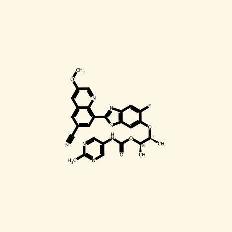 COc1cnc2c(-c3nc4cc(F)c(O[C@@H](C)[C@@H](C)OC(=O)Nc5cnc(C)nc5)cc4s3)cc(C#N)cc2c1